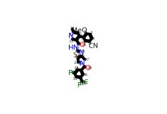 COc1ccc(C#N)cc1-c1cc(C)ncc1C(=O)Nc1nc2c(s1)CN(C(=O)c1cc(F)cc(C(F)F)c1)C2